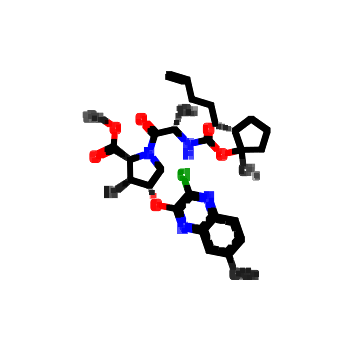 C=CCCC[C@@H]1CCCC1(OC(=O)N[C@H](C(=O)N1C[C@H](Oc2nc3cc(OC)ccc3nc2Cl)[C@@H](CC)[C@H]1C(=O)OC(C)(C)C)C(C)(C)C)C(F)(F)F